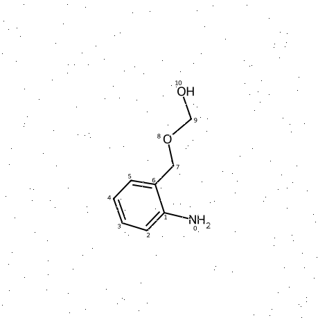 Nc1ccccc1COCO